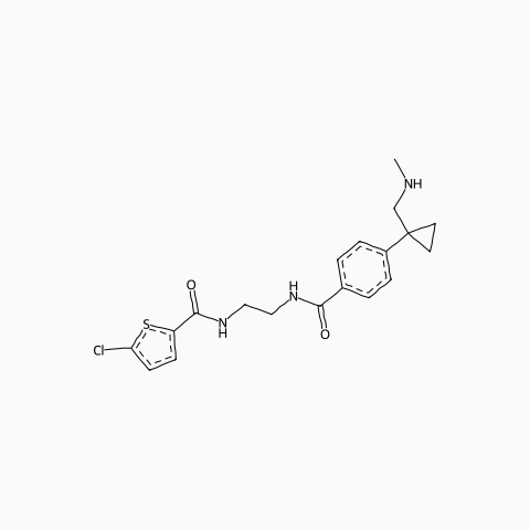 CNCC1(c2ccc(C(=O)NCCNC(=O)c3ccc(Cl)s3)cc2)CC1